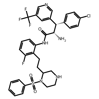 N[C@H](C(=O)Nc1cccc(F)c1CCC1CNCCN1S(=O)(=O)c1ccccc1)[C@@H](c1ccc(Cl)cc1)c1cncc(C(F)(F)F)c1